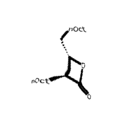 CCCCCCCCC[C@@H]1OC(=O)[C@H]1CCCCCCCC